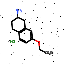 CCOC(=O)COc1ccc2c(c1)C[C@H](N)CC2.Cl